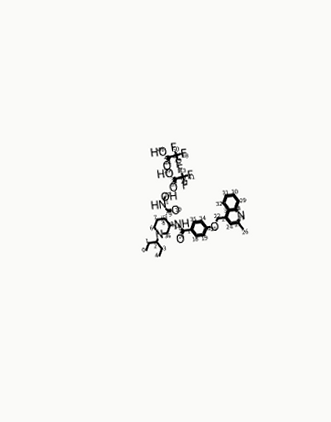 CCC(CC)N1CC[C@H](C(=O)NO)[C@H](NC(=O)c2ccc(OCc3cc(C)nc4ccccc34)cc2)C1.O=C(O)C(F)(F)F.O=C(O)C(F)(F)F